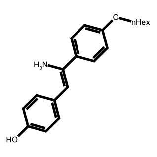 CCCCCCOc1ccc(/C(N)=C/c2ccc(O)cc2)cc1